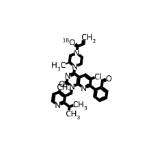 C=CC(=[18O])N1CCN(c2nc(=O)n(Cc3c(C)ccnc3C(C)C)c3nc(-c4ccccc4C=O)c(Cl)cc23)[C@@H](C)C1